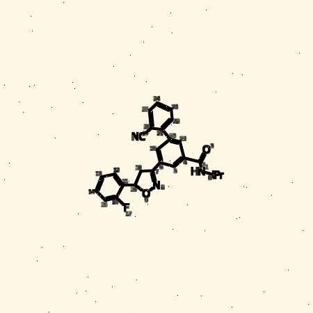 CC(C)NC(=O)c1cc(C2=NOC(c3ccccc3F)C2)cc(-c2ccccc2C#N)c1